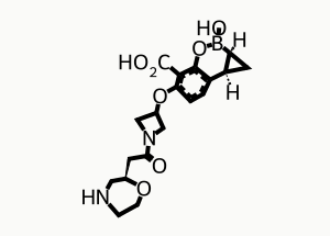 O=C(O)c1c(OC2CN(C(=O)C[C@@H]3CNCCO3)C2)ccc2c1OB(O)[C@H]1C[C@@H]21